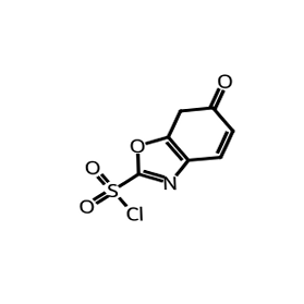 O=C1C=Cc2nc(S(=O)(=O)Cl)oc2C1